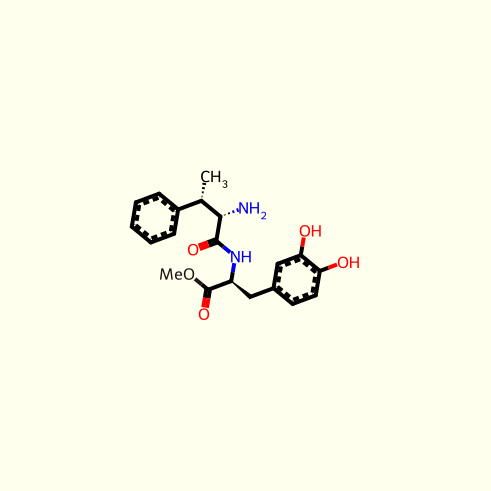 COC(=O)[C@H](Cc1ccc(O)c(O)c1)NC(=O)[C@@H](N)[C@@H](C)c1ccccc1